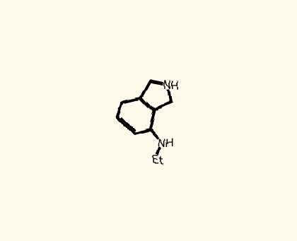 CCNC1C=CCC2CNCC21